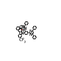 FC(F)(F)c1ccc2c3ccc(C(F)(F)F)cc3n(-c3ccc(-c4nc(-c5ccccc5)cc(-c5ccccc5)n4)cc3-c3nc(-c4ccccc4)nc(-c4ccccc4)n3)c2c1